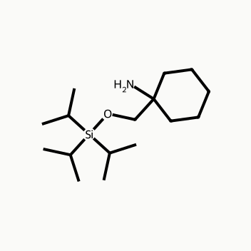 CC(C)[Si](OCC1(N)CCCCC1)(C(C)C)C(C)C